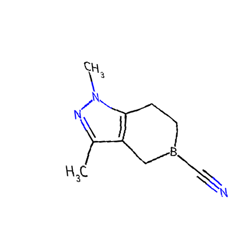 Cc1nn(C)c2c1CB(C#N)CC2